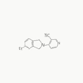 CCc1ccc2c(c1)CN(c1ccncc1C#N)C2